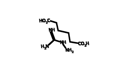 N=C(N)NN.O=C(O)CCCCC(=O)O